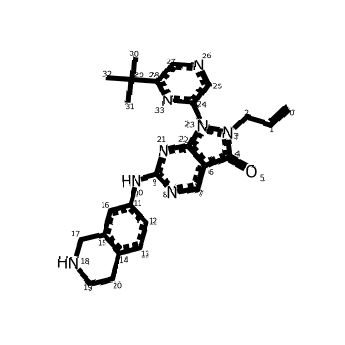 C=CCn1c(=O)c2cnc(Nc3ccc4c(c3)CNCC4)nc2n1-c1cncc(C(C)(C)C)n1